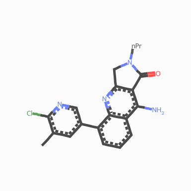 CCCN1Cc2nc3c(-c4cnc(Cl)c(C)c4)cccc3c(N)c2C1=O